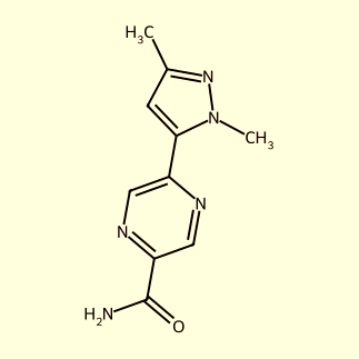 Cc1cc(-c2cnc(C(N)=O)cn2)n(C)n1